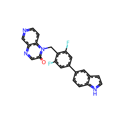 O=c1cnc2cnccc2n1Cc1c(F)cc(-c2ccc3[nH]ccc3c2)cc1F